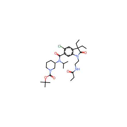 CCC(=O)NCCN1C(=O)C(CC)(CC)c2cc(Cl)c(C(=O)N(C(C)C)[C@@H]3CCCN(C(=O)OC(C)(C)C)C3)cc21